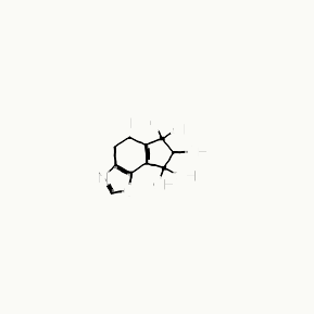 CC1C(C)(C)C2=C(c3ocnc3CC2)C1(C)C